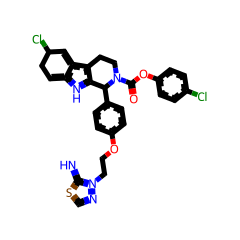 N=c1scnn1CCOc1ccc(C2c3[nH]c4c(c3CCN2C(=O)Oc2ccc(Cl)cc2)=CC(Cl)CC=4)cc1